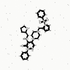 O=c1c(NCC2CCCO2)c(N2CCN(Cc3cccn3S(=O)(=O)c3ccccc3)CC2)cnn1-c1ccccc1